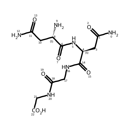 NC(=O)C[C@H](NC(=O)[C@@H](N)CC(N)=O)C(=O)NCC(=O)NCC(=O)O